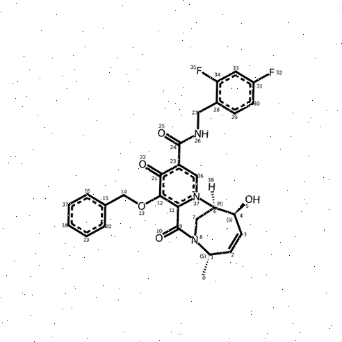 C[C@H]1C=C[C@H](O)[C@H]2CN1C(=O)c1c(OCc3ccccc3)c(=O)c(C(=O)NCc3ccc(F)cc3F)cn12